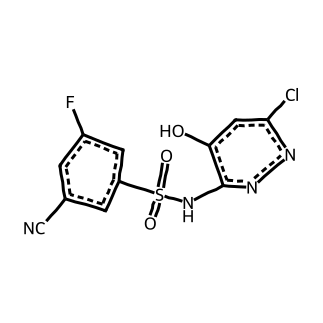 N#Cc1cc(F)cc(S(=O)(=O)Nc2nnc(Cl)cc2O)c1